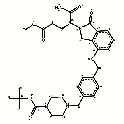 COC(=O)CC[C@@H](C(N)=O)N1Cc2c(OCc3ccc(CN4CCN(C(=O)OC(C)(C)C)CC4)cc3)cccc2C1=O